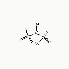 [NH]=[Ag]([S](=O)(=O)C(F)(F)F)[S](=O)(=O)C(F)(F)F